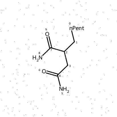 CCCCCCC(CC(N)=O)C(N)=O